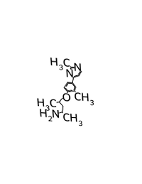 Cc1nccc(-c2ccc(OCC(C)CC(C)N)c(C)c2)n1